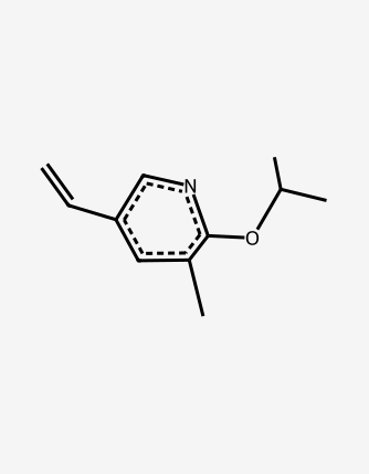 C=Cc1cnc(OC(C)C)c(C)c1